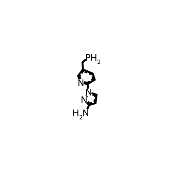 Nc1ccn(-c2ccc(CP)cn2)n1